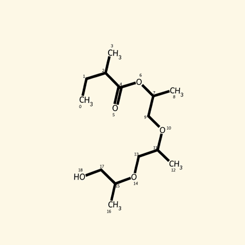 CCC(C)C(=O)OC(C)COC(C)COC(C)CO